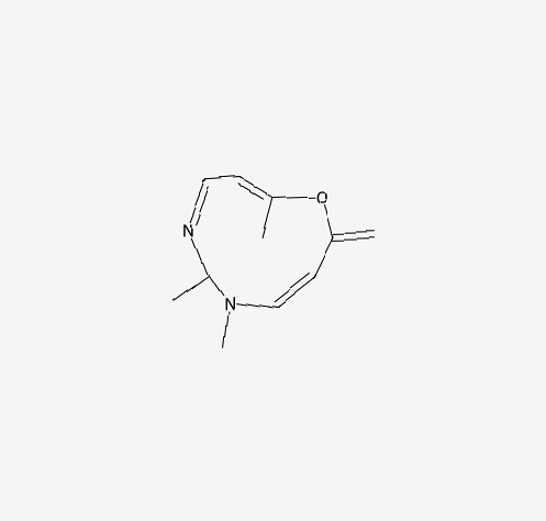 C=C1/C=C\N(C)C(C)/N=C\C=C(/C)O1